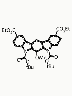 CCOC(=O)c1ccc2c(c1)c1cc3c4cc(C(=O)OCC)ccc4n(C(=O)OC(C)(C)C)c3c(OC)c1n2C(=O)OC(C)(C)C